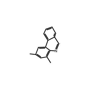 Cc1cc(C)c2n[c]c3ccccc3c2c1